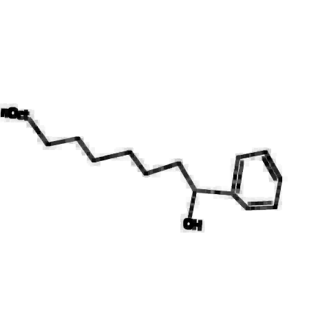 CCCCCCCCCCCCCCC(O)c1ccccc1